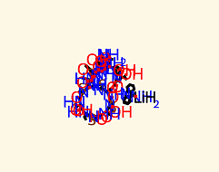 C=C(NC(=O)C(=C)NC(=O)c1csc(C2=NC3c4csc(n4)C4NC(=O)c5csc(n5)C(C(C)(O)C(C)O)NC(=O)C5CSC(=N5)/C(=C\C)NC(=O)C(C(C)O)NC(=O)c5csc(n5)C3(CC2)NC(=O)C(C)NC(=O)C(=C)NC(=O)C(C)NC(=O)C(C(C)CC)NC2C=Cc3c(C(C)O)cc(nc3C2O)C(=O)OC4C)n1)C(N)=O.Nc1c2c(nc3ccccc13)CCCC2.[LiH]